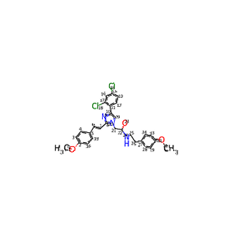 COc1ccc(/C=C/c2nc(-c3ccc(Cl)cc3Cl)cn2CC(=O)NCCc2ccc(OC)cc2)cc1